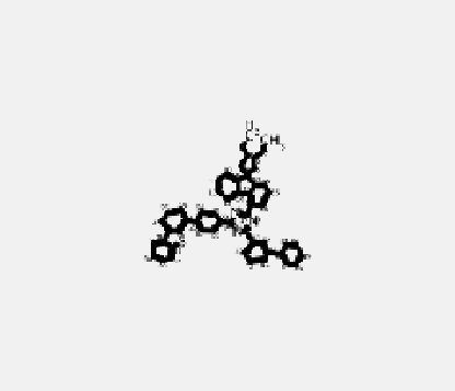 CCCCC1(CCCC)c2ccccc2-c2c(-c3nc(-c4ccc(-c5cccc6c5sc5ccccc56)cc4)nc(-c4cccc(-c5ccccc5)c4)n3)cccc21